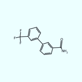 NC(=O)c1cccc(-c2cccc(C(F)(F)F)c2)c1